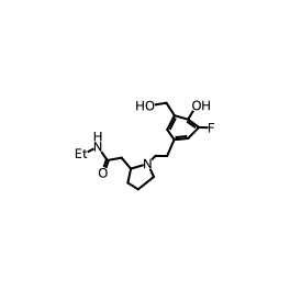 CCNC(=O)CC1CCCN1CCc1cc(F)c(O)c(CO)c1